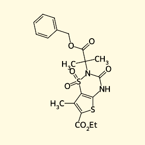 CCOC(=O)c1sc2c(c1C)S(=O)(=O)N(C(C)(C)C(=O)OCc1ccccc1)C(=O)N2